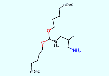 CCCCCCCCCCCCCCOC(OCCCCCCCCCCCCCC)[SiH2]CC(C)CN